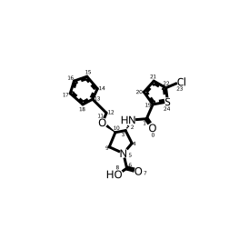 O=C(N[C@@H]1CN(C(=O)O)C[C@H]1OCc1ccccc1)c1ccc(Cl)s1